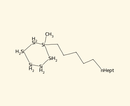 CCCCCCCCCCCC[Si]1(C)[SiH2][SiH2][SiH2][SiH2][SiH2]1